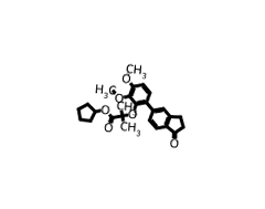 COc1ccc(-c2ccc3c(c2)CCC3=O)c(OC(C)(C)C(=O)OC2CCCC2)c1OC